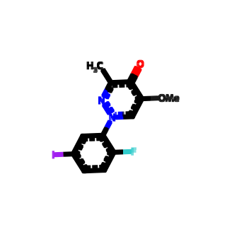 COc1cn(-c2cc(I)ccc2F)nc(C)c1=O